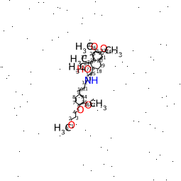 COCCCOc1ccc(CCCNCCC2(O)CCc3cc(OC)c(OC)cc3C2C(C)C)cc1OC